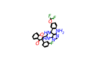 CC(Nc1ncnc(N)c1C(=N)c1cccc(OC(F)F)c1)c1oc2ccccc2c(=O)c1-c1cccc(F)c1